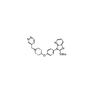 CSc1nc2cccnc2n1-c1ccc(OC2CCN(Cc3ccnnc3)CC2)cc1